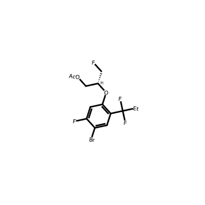 CCC(F)(F)c1cc(Br)c(F)cc1O[C@@H](CF)COC(C)=O